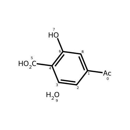 CC(=O)c1ccc(C(=O)O)c(O)c1.O